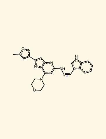 Cc1cc(-c2cc3nc(N/N=C\c4c[nH]c5ccccc45)cc(N4CCOCC4)n3n2)no1